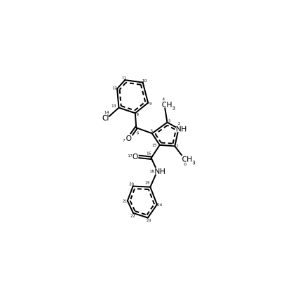 Cc1[nH]c(C)c(C(=O)c2ccccc2Cl)c1C(=O)Nc1ccccc1